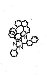 c1ccc(-c2nc(-c3ccccc3)nc(-c3ccc4ccccc4c3-n3c4ccc5cccc6c5c4c4c5c(ccc7cccc-6c75)ccc43)n2)cc1